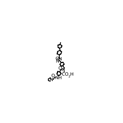 Cc1ccc(-c2ccc(-c3nc(-c4ccc(CN(CC(=O)O)C(=O)c5ccc(NC(=O)CN6CCCC6)cc5)cc4)no3)cc2)cc1